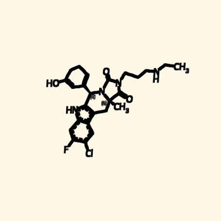 CCNCCCN1C(=O)N2[C@H](C3=CCCC(O)=C3)c3[nH]c4cc(F)c(Cl)cc4c3C[C@@]2(C)C1=O